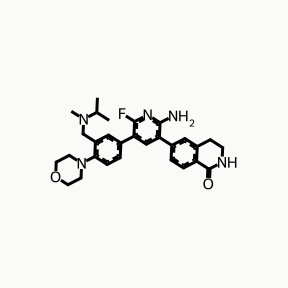 CC(C)N(C)Cc1cc(-c2cc(-c3ccc4c(c3)CCNC4=O)c(N)nc2F)ccc1N1CCOCC1